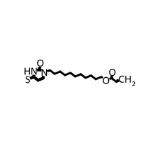 C=CC(=O)OCCCCCCCCCCCn1ccc(=S)[nH]c1=O